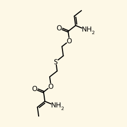 C/C=C(\N)C(=O)OCCSCCOC(=O)/C(N)=C/C